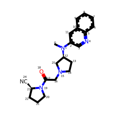 CN(c1cnc2ccccc2c1)[C@H]1CCN(CC(=O)N2CCC[C@H]2C#N)C1